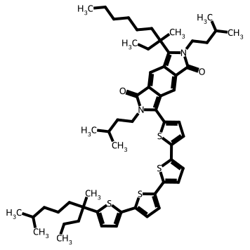 CCCCCCC(C)(CC)C1=c2cc3c(cc2C(=O)N1CCC(C)C)=C(c1ccc(-c2ccc(-c4ccc(-c5ccc(C(C)(CCC)CCCC(C)C)s5)s4)s2)s1)N(CCC(C)C)C3=O